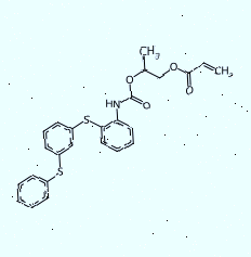 C=CC(=O)OCC(C)OC(=O)Nc1ccccc1Sc1cccc(Sc2ccccc2)c1